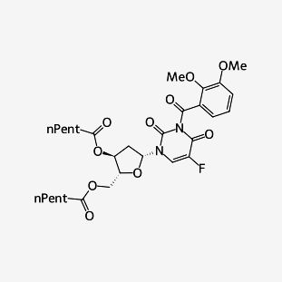 CCCCCC(=O)OC[C@H]1O[C@@H](n2cc(F)c(=O)n(C(=O)c3cccc(OC)c3OC)c2=O)C[C@@H]1OC(=O)CCCCC